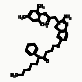 CCCCCCN(C(=O)CCCOc1ccc2c(c1)CN(CC(=O)Oc1c(C)cc(C)cc1C)C(N)=N2)c1ccccc1